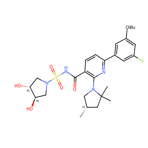 CC(C)COc1cc(F)cc(-c2ccc(C(=O)NS(=O)(=O)N3C[C@@H](O)[C@H](O)C3)c(N3C[C@@H](C)CC3(C)C)n2)c1